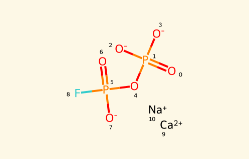 O=P([O-])([O-])OP(=O)([O-])F.[Ca+2].[Na+]